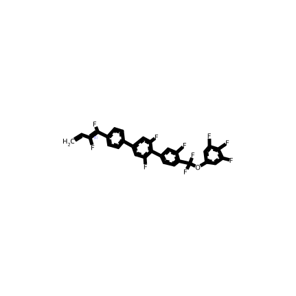 C=C/C(F)=C(\F)c1ccc(-c2cc(F)c(-c3ccc(C(F)(F)Oc4cc(F)c(F)c(F)c4)c(F)c3)c(F)c2)cc1